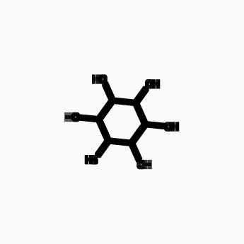 OC1C(O)C(O)C(S)C(O)C1O